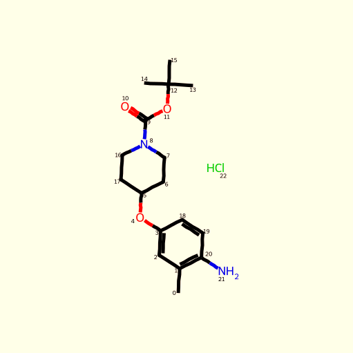 Cc1cc(OC2CCN(C(=O)OC(C)(C)C)CC2)ccc1N.Cl